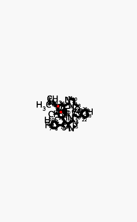 Cc1c(-c2c(-c3ccc(F)cc3)sc3ncnc(N[C@H](Cc4ccccc4OCc4ccnc(-c5ccccc5F)n4)C(=O)O)c23)ccc(OCCN(C)C)c1Cl